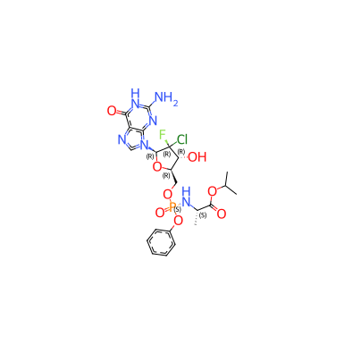 CC(C)OC(=O)[C@H](C)N[P@](=O)(OC[C@H]1O[C@@H](n2cnc3c(=O)[nH]c(N)nc32)[C@](F)(Cl)[C@@H]1O)Oc1ccccc1